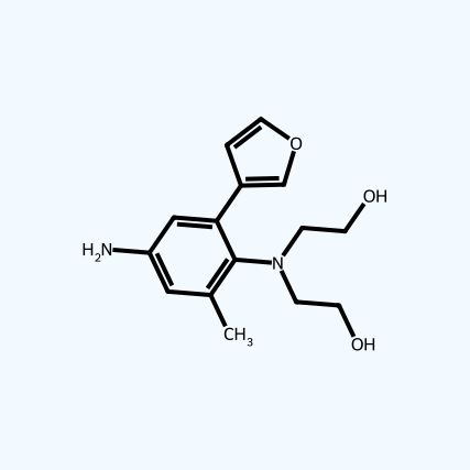 Cc1cc(N)cc(-c2ccoc2)c1N(CCO)CCO